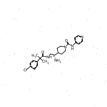 CC(C)(C(=O)NC[C@@H](N)C1CCN(C(=O)Nc2ccncc2)CC1)c1ccc(Cl)cc1